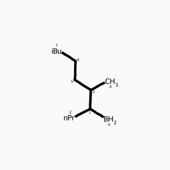 BC(CCC)C(C)CCC(C)CC